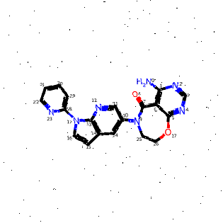 Nc1ncnc2c1C(=O)N(c1cnc3c(ccn3-c3ccccn3)c1)CCO2